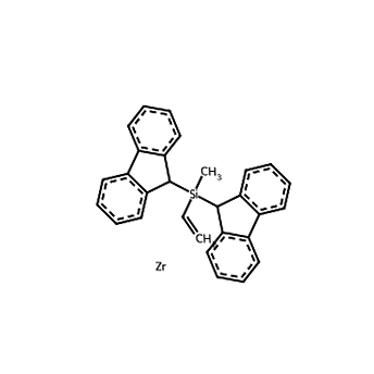 C=C[Si](C)(C1c2ccccc2-c2ccccc21)C1c2ccccc2-c2ccccc21.[Zr]